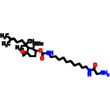 COC1C(OC(=O)NCCCCCCCCCCNC(=O)CN)CC[C@]2(CO2)C1C(C)(C)CCC=C(C)C